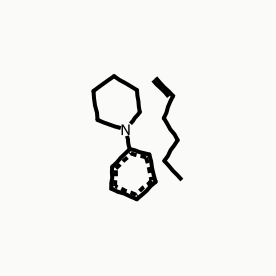 C=CCCCC.c1ccc(N2CCCCC2)cc1